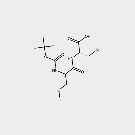 COCC(NC(=O)OC(C)(C)C)C(=O)N[C@@H](CS)C(=O)O